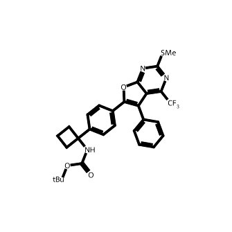 CSc1nc(C(F)(F)F)c2c(-c3ccccc3)c(-c3ccc(C4(NC(=O)OC(C)(C)C)CCC4)cc3)oc2n1